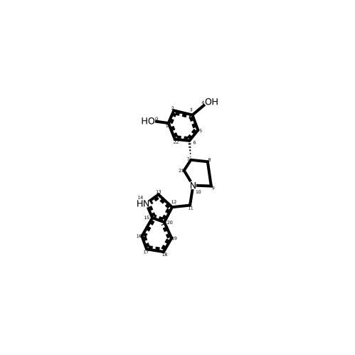 Oc1cc(O)cc([C@@H]2CCN(Cc3c[nH]c4ccccc34)C2)c1